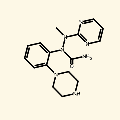 CN(c1ncccn1)N(C(N)=O)c1ccccc1N1CCNCC1